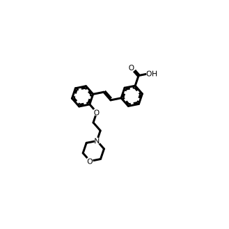 O=C(O)c1cccc(/C=C/c2ccccc2OCCN2CCOCC2)c1